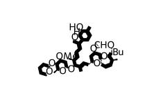 CCC(C)C1O[C@]2(CC=C[C@@H]1C)C[C@@H](OC=O)C[C@@H](C/C=C(\C)[C@@H](O[C@H]1C[C@H](OC)[C@H](OC3CCCCO3)[C@H](C)O1)[C@@H](C)/C=C/C=C1\CO[C@H]3C1CC=C(C)[C@H]3O)O2